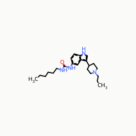 CCCCCCNC(=O)Nc1ccc2[nH]cc(C3CCN(CCC)CC3)c2c1